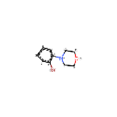 Brc1c[c]ccc1N1CCOCC1